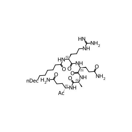 CCCCCCCCCCCCCCCC(=O)N[C@@H](CCCNC(=N)N)C(=O)N[C@@H](CCC(N)=O)C(=O)N[C@@H](C)C(=O)N[C@@H](CCC(N)=O)C(C)=O